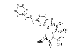 CCCCN(C)C(=O)c1cc(C(=O)N2Cc3ccc(OCCN4CCOCC4)cc3C2)c(O)cc1O